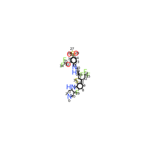 CN1CCC(Nc2cccc3c(CC(F)(F)F)c(C#CCNc4ccc(S(C)(=O)=O)cc4OC(F)F)sc23)C(F)C1